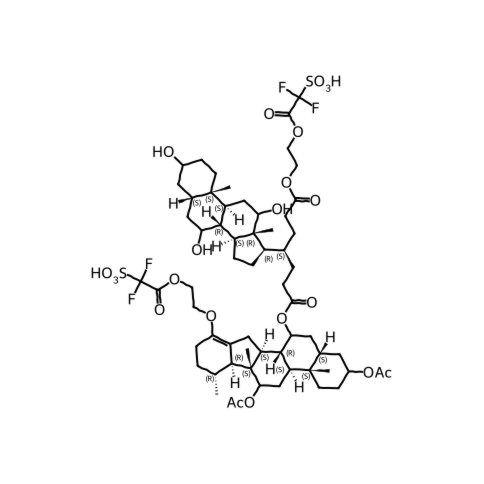 CC(=O)OC1CC[C@@]2(C)[C@@H](C1)CC(OC(=O)CC[C@H](CCC(=O)OCCOC(=O)C(F)(F)S(=O)(=O)O)[C@H]1CC[C@H]3[C@@H]4C(O)C[C@@H]5CC(O)CC[C@]5(C)[C@H]4CC(O)[C@]13C)[C@@H]1[C@@H]2CC(OC(C)=O)[C@]2(C)[C@@H]3C(=C(OCCOC(=O)C(F)(F)S(=O)(=O)O)CC[C@H]3C)C[C@@H]12